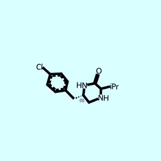 CC(C)C1NC[C@H](Cc2ccc(Cl)cc2)NC1=O